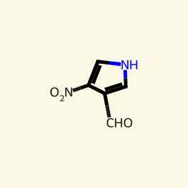 O=Cc1c[nH]cc1[N+](=O)[O-]